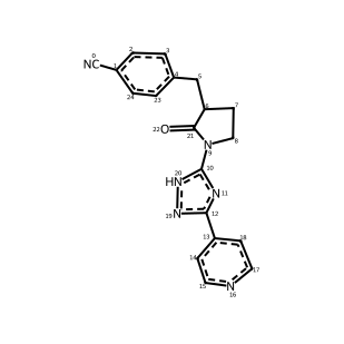 N#Cc1ccc(CC2CCN(c3nc(-c4ccncc4)n[nH]3)C2=O)cc1